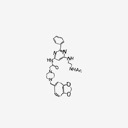 CC(=O)NCCNc1cc(NC(=O)CN2CCN(Cc3ccc4c(c3)OCO4)CC2)nc(-c2ccccc2)n1